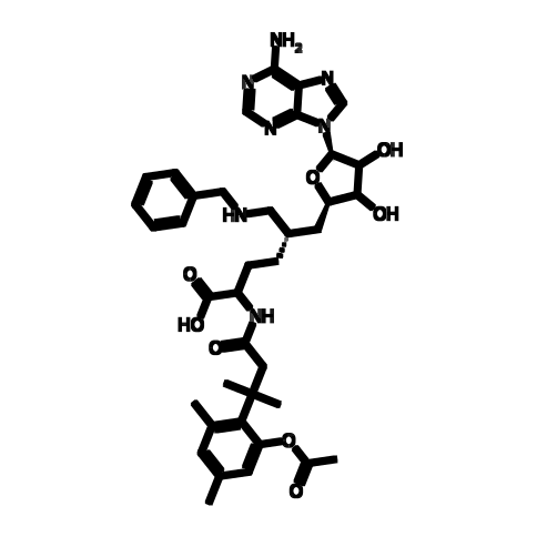 CC(=O)Oc1cc(C)cc(C)c1C(C)(C)CC(=O)NC(CC[C@H](CNCc1ccccc1)C[C@H]1O[C@@H](n2cnc3c(N)ncnc32)C(O)C1O)C(=O)O